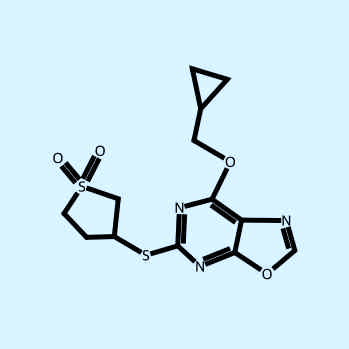 O=S1(=O)CCC(Sc2nc(OCC3CC3)c3ncoc3n2)C1